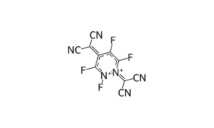 N#CC(C#N)=c1c(F)c(F)[n+](=C(C#N)C#N)[n+](F)c1F